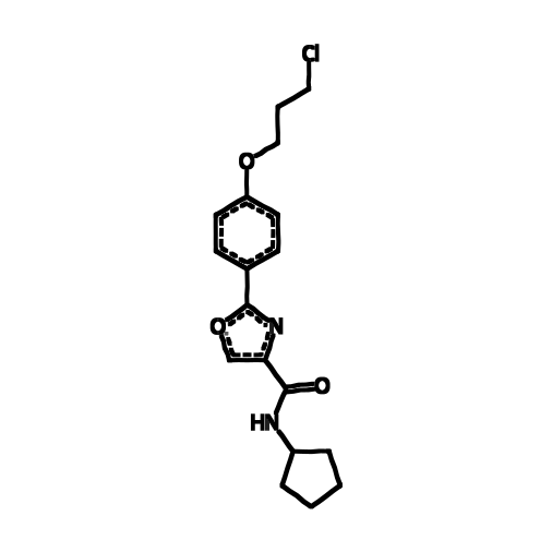 O=C(NC1CCCC1)c1coc(-c2ccc(OCCCCl)cc2)n1